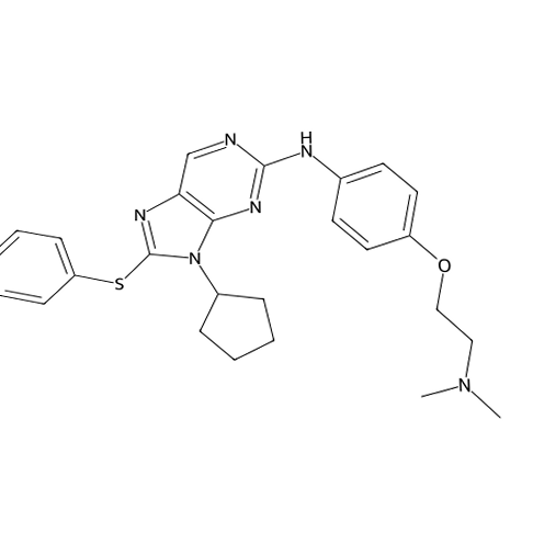 CN(C)CCOc1ccc(Nc2ncc3nc(Sc4ccccc4)n(C4CCCC4)c3n2)cc1